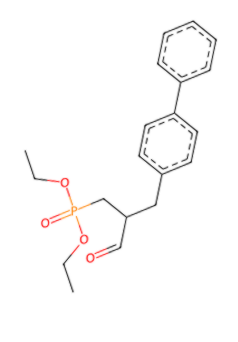 CCOP(=O)(CC(C=O)Cc1ccc(-c2ccccc2)cc1)OCC